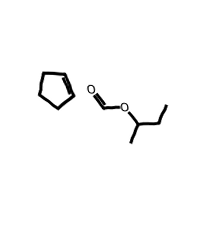 C1=CCCC1.CCC(C)OC=O